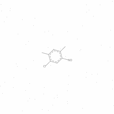 Cc1[c]c(C)c(N=O)cc1Cl